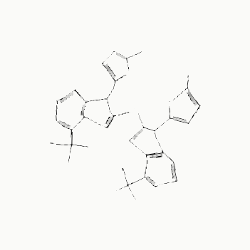 Cc1ccc(C2[C]([Zr][C]3=Cc4c(cccc4C(C)(C)C)C3c3ccc(C)o3)=Cc3c2cccc3C(C)(C)C)o1